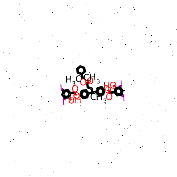 CC(CCC(=O)OC(C)(C)C1CCCCC1)(c1ccc(OC(=O)c2cc(I)cc(I)c2O)cc1)c1ccc(OC(=O)c2cc(I)cc(I)c2O)cc1